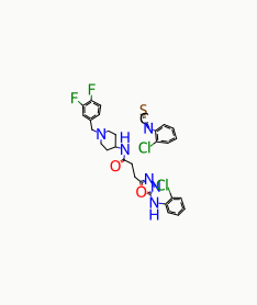 O=C(CCc1nnc(Nc2ccccc2Cl)o1)NC1CCN(Cc2ccc(F)c(F)c2)CC1.S=C=Nc1ccccc1Cl